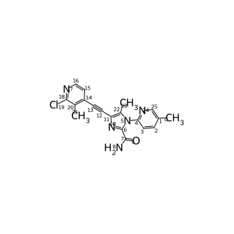 Cc1ccc(-n2c(C(N)=O)nc(C#Cc3ccnc(Cl)c3C)c2C)nc1